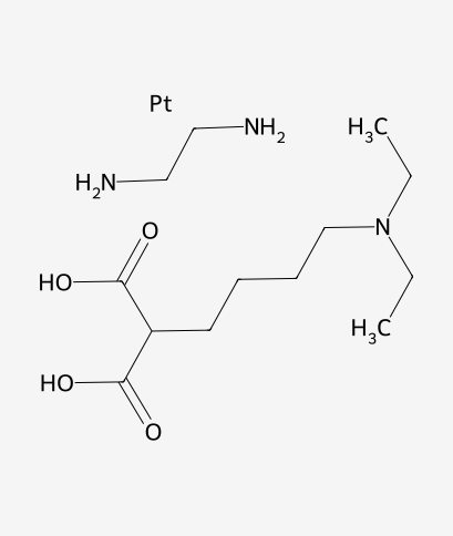 CCN(CC)CCCCC(C(=O)O)C(=O)O.NCCN.[Pt]